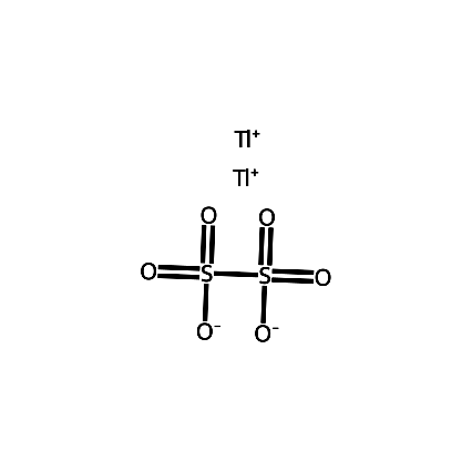 O=S(=O)([O-])S(=O)(=O)[O-].[Tl+].[Tl+]